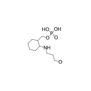 [O]CCCNC1CCCCC1COP(=O)(O)O